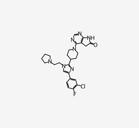 O=C1Cc2c(ncnc2N2CCC(c3nc(-c4ccc(F)c(Cl)c4)cn3CCN3CCCC3)CC2)N1